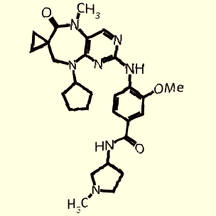 COc1cc(C(=O)NC2CCN(C)C2)ccc1Nc1ncc2c(n1)N(C1CCCC1)CC1(CC1)C(=O)N2C